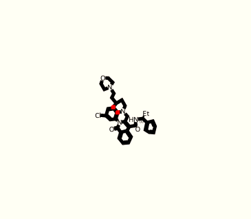 CC[C@H](NC(=O)c1c(CN2CCC(CCN3CCOCC3)CC2)n(-c2cccc(Cl)c2)c(=O)c2ccccc12)c1ccccc1